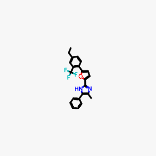 CCc1ccc(-c2ccc(-c3nc(C)c(-c4ccccc4)[nH]3)o2)c(C(F)(F)F)c1